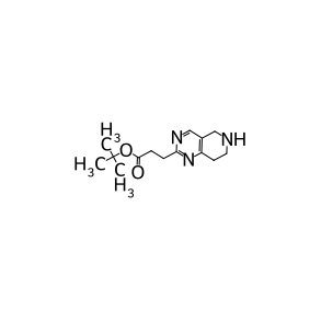 CC(C)(C)OC(=O)CCc1ncc2c(n1)CCNC2